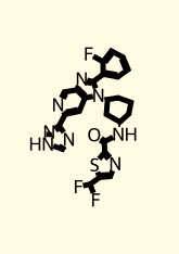 O=C(N[C@H]1CCC[C@@H](n2c(-c3ccccc3F)nc3cnc(-c4nc[nH]n4)cc32)C1)c1ncc(C(F)F)s1